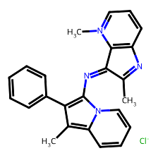 CC1=Nc2ccc[n+](C)c2C1=Nc1c(-c2ccccc2)c(C)c2ccccn12.[Cl-]